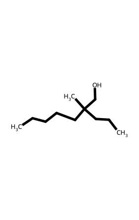 CCCCCC(C)(CO)CCC